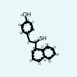 Oc1ccc(CC(S)c2cccc3ccccc23)cc1